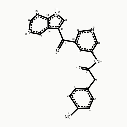 N#Cc1ccc(CC(=O)Nc2cncc(C(=O)c3c[nH]c4ncncc34)c2)cc1